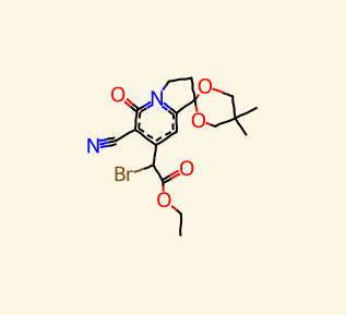 CCOC(=O)C(Br)c1cc2n(c(=O)c1C#N)CCC21OCC(C)(C)CO1